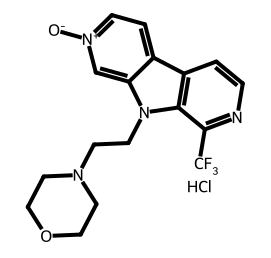 Cl.[O-][n+]1ccc2c3ccnc(C(F)(F)F)c3n(CCN3CCOCC3)c2c1